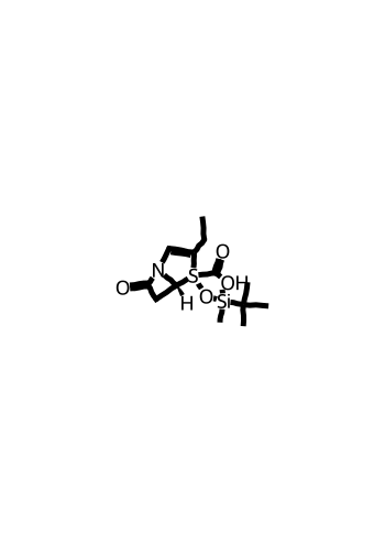 CCC1=CN2C(=O)C[C@H]2S1(O[Si](C)(C)C(C)(C)C)C(=O)O